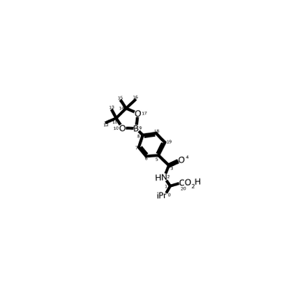 CC(C)C(NC(=O)c1ccc(B2OC(C)(C)C(C)(C)O2)cc1)C(=O)O